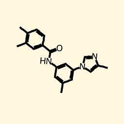 Cc1cc(NC(=O)c2ccc(C)c(C)c2)cc(-n2cnc(C)c2)c1